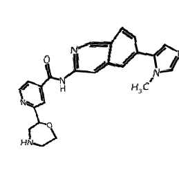 Cn1cncc1-c1ccc2cnc(NC(=O)c3ccnc(C4CNCCO4)c3)cc2c1